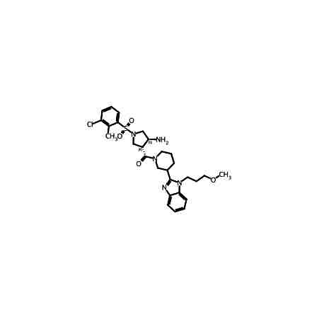 COCCCn1c(C2CCCN(C(=O)[C@@H]3CN(S(=O)(=O)c4cccc(Cl)c4C)C[C@H]3N)C2)nc2ccccc21